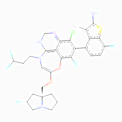 N#Cc1c(N)sc2c(F)ccc(-c3c(F)c4c5c(c3Cl)=NCNC=5N(CCC(F)F)C=C(OC[C@@]35CCCN3C[C@H](F)C5)O4)c12